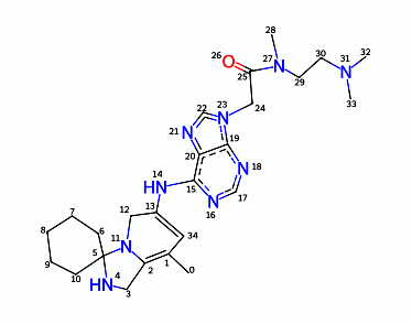 CC1=C2CNC3(CCCCC3)N2CC(Nc2ncnc3c2ncn3CC(=O)N(C)CCN(C)C)=C1